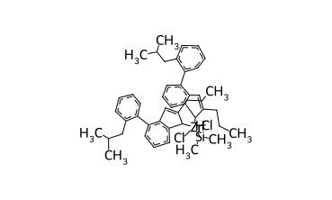 CCCC1=Cc2c(-c3ccccc3CC(C)C)cccc2[CH]1[Zr]([Cl])([Cl])([CH]1C(CCC)=Cc2c(-c3ccccc3CC(C)C)cccc21)[SiH](C)C